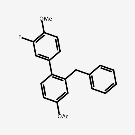 COc1ccc(-c2ccc(OC(C)=O)cc2Cc2ccccc2)cc1F